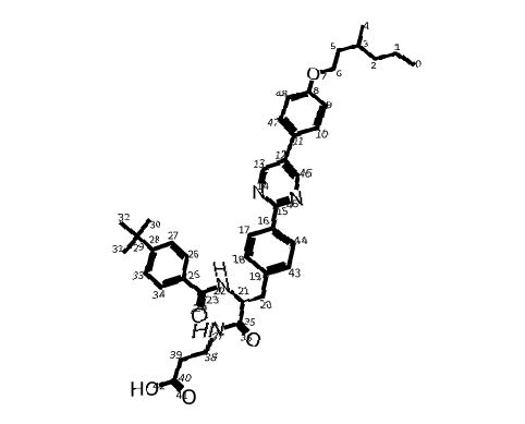 CCCC(C)CCOc1ccc(-c2cnc(-c3ccc(C[C@H](NC(=O)c4ccc(C(C)(C)C)cc4)C(=O)NCCC(=O)O)cc3)nc2)cc1